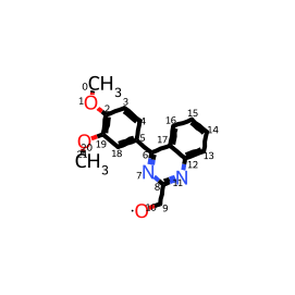 COc1ccc(-c2nc(C[O])nc3ccccc23)cc1OC